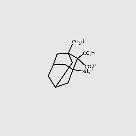 NC12CC3CC(C1)CC(C(=O)O)(C3)C2(C(=O)O)C(=O)O